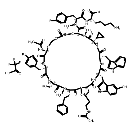 CC(=O)NCCCC[C@H]1C(=O)N[C@@H](Cc2c[nH]c3ccc(O)cc23)C(=O)N[C@@H](Cc2c[nH]c3ccccc23)C(=O)N[C@@H](C2CC2)C(=O)N(C)[C@H](C(=O)N(C)[C@@H](Cc2ccc(F)cc2)C(=O)N[C@@H](CCCCN)C(=O)O)CNC(=O)CCC[C@H](NC(C)=O)C(=O)N[C@@H](Cc2ccc(O)cc2)C(=O)N[C@@H](CO)C(=O)N(C)[C@@H](CCc2ccccc2)C(=O)N1C.O=C(O)C(F)(F)F